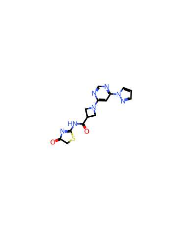 O=C1CSC(NC(=O)C2CN(c3cc(-n4cccn4)ncn3)C2)=N1